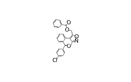 Cc1noc(COC(=O)c2ccccc2)c1-c1ccccc1C(=O)c1ccc(Cl)cc1